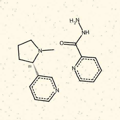 CN1CCC[C@H]1c1cccnc1.NNC(=O)c1ccccn1